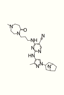 Cc1nn(C2CC3CCC(C2)N3C)cc1Nc1ncc(C#N)c(NCCCN2CCN(C)CCC2=O)n1